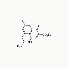 CCOC(=O)c1cn2c3c(c(F)c(F)cc3c1=O)CC(C)N2